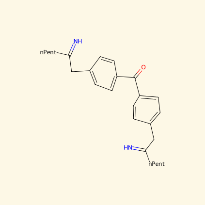 CCCCCC(=N)Cc1ccc(C(=O)c2ccc(CC(=N)CCCCC)cc2)cc1